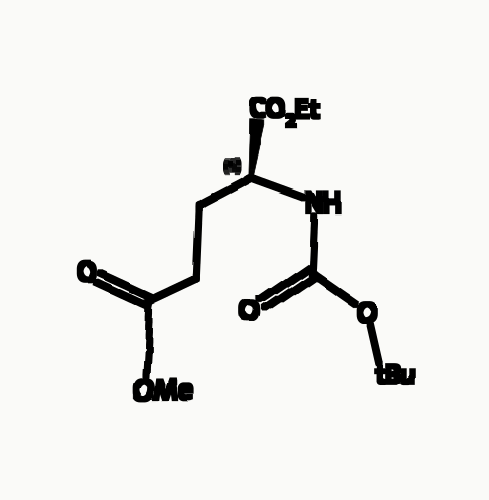 CCOC(=O)[C@H](CCC(=O)OC)NC(=O)OC(C)(C)C